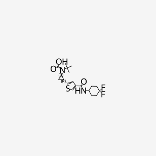 CC(C)(C)N(C(=O)O)[C@@H]1C[C@H]1c1cc(C(=O)NC2CCC(F)(F)CC2)cs1